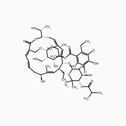 CCc1c(Cl)c(O)c(Cl)c(O)c1C(=O)O[C@H]1[C@H](O)[C@H](CO)[C@H](OC/C2=C\C=C\C[C@H](O)/C(C)=C/[C@H](CC)[C@@H](O[C@@H]3OC(C)(C)[C@@H](OC(=O)C(C)C)[C@H](O)[C@@H]3O)/C(C)=C/C(C)=C/C[C@@H]([C@@H](C)O)OC2=O)O[C@@H]1C